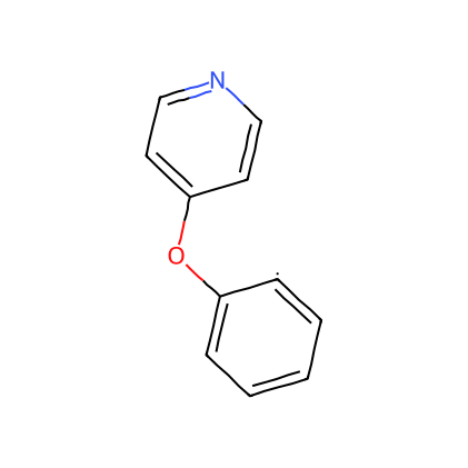 [c]1ccccc1Oc1ccncc1